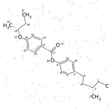 CC[C@H](C)CCc1ccc(OC(=O)c2ccc(O[C@H](C)CC)cc2)cc1